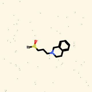 CC[S+]([O-])CCCN1CCc2ccccc2C1